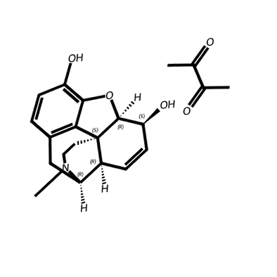 CC(=O)C(C)=O.CN1CC[C@]23c4c5ccc(O)c4O[C@H]2[C@@H](O)C=C[C@H]3[C@H]1C5